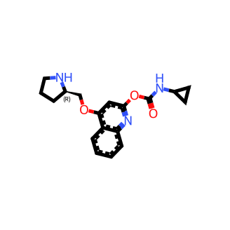 O=C(NC1CC1)Oc1cc(OC[C@H]2CCCN2)c2ccccc2n1